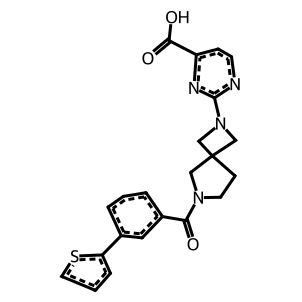 O=C(O)c1ccnc(N2CC3(CCN(C(=O)c4cccc(-c5cccs5)c4)C3)C2)n1